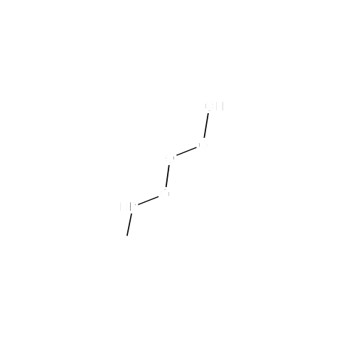 CPOOOO